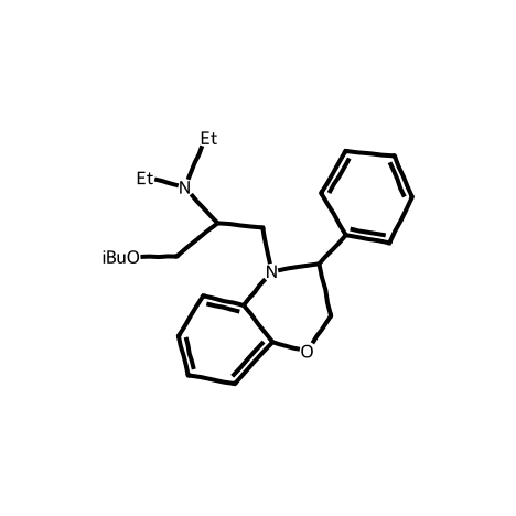 CCN(CC)C(COCC(C)C)CN1c2ccccc2OCC1c1ccccc1